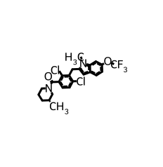 C[C@H]1CCCN(C(=O)c2ccc(Cl)c(Cc3cc4ccc(OC(F)(F)F)cc4n3C)c2Cl)C1